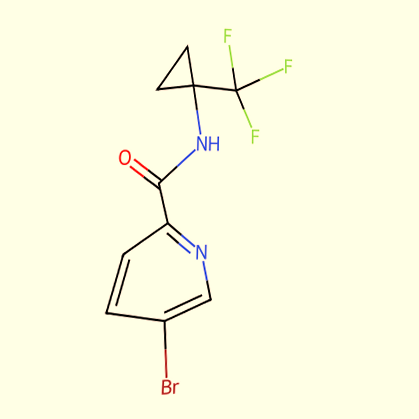 O=C(NC1(C(F)(F)F)CC1)c1ccc(Br)cn1